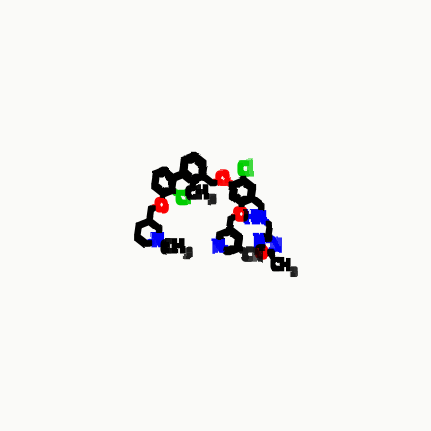 Cc1nc(CNCc2cc(Cl)c(OCc3cccc(-c4cccc(OCC5CCCN(C)C5)c4Cl)c3C)cc2OCc2cncc(C#N)c2)no1